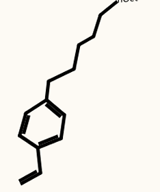 C=Cc1ccc(CCCCCCCCCCCCC)cc1